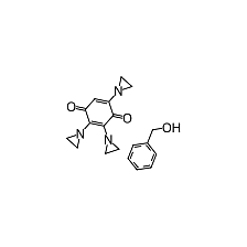 O=C1C=C(N2CC2)C(=O)C(N2CC2)=C1N1CC1.OCc1ccccc1